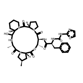 C[C@@H]1C[C@H]2C(=O)O[C@@H](C)[C@H](NC(=O)[C@H](Cc3ccccc3)NC(=O)Nc3ncco3)C(=O)N3CCC[C@H]3C(=O)N3CCCC[C@H]3C(O)N[C@@H](C)C(=O)N2C1